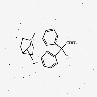 C[N+]12CCC(CC1)C(O)C2.O=C([O-])C(O)(c1ccccc1)c1ccccc1